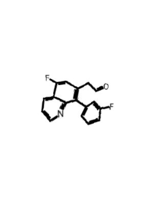 O=CCc1cc(F)c2cccnc2c1-c1cccc(F)c1